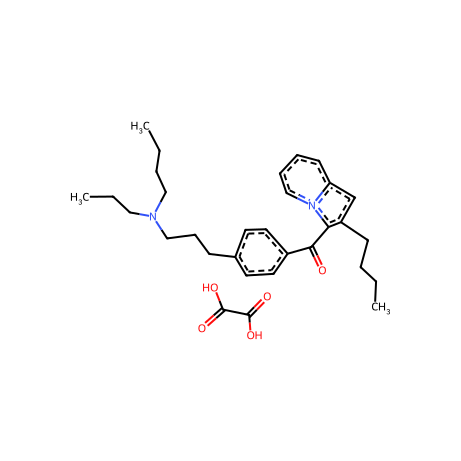 CCCCc1cc2ccccn2c1C(=O)c1ccc(CCCN(CCC)CCCC)cc1.O=C(O)C(=O)O